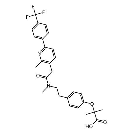 Cc1nc(-c2ccc(C(F)(F)F)cc2)ccc1CC(=O)N(C)CCc1ccc(OC(C)(C)C(=O)O)cc1